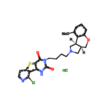 COc1cccc2c1[C@@H]1CN(CCCCn3c(=O)[nH]c4c(sc5ccnc(Cl)c54)c3=O)C[C@@H]1CO2.Cl